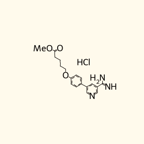 COC(=O)CCCCOc1ccc(-c2cncc(C(=N)N)c2)cc1.Cl